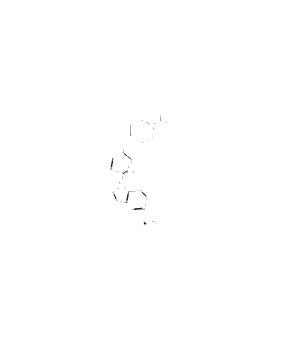 CCC(CC)N1CCC(Oc2ccc(-n3ccc4cc(S(C)(=O)=O)ccc43)nc2)CC1